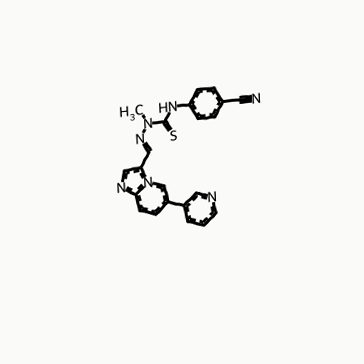 CN(/N=C/c1cnc2ccc(-c3cccnc3)cn12)C(=S)Nc1ccc(C#N)cc1